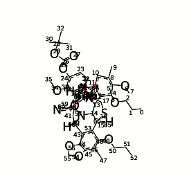 CCCOc1c(OC)c(C)cc2c1C1C3[C@@H]4SC[C@]5(NCCc6cc(OC(=O)OC(C)(C)C)c(OC)cc65)C(=O)OC[C@@H](c5c6c(c(C)c(OCCC)c54)OCO6)N3[C@@H](C#N)[C@@H](C2)N1C